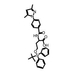 Cc1cc(C)n(-c2ccc(C(=O)NC(CCO[Si](c3ccccc3)(c3ccccc3)C(C)(C)C)C(=O)O)cc2)n1